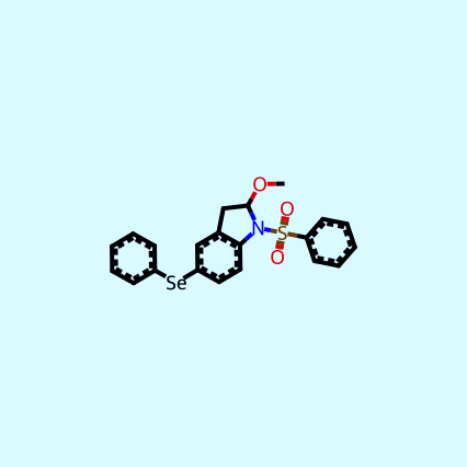 COC1Cc2cc([Se]c3ccccc3)ccc2N1S(=O)(=O)c1ccccc1